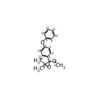 COC1(c2ccc(Oc3ccccc3)cc2)OC1(C)C